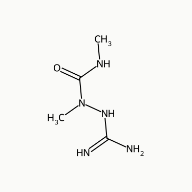 CNC(=O)N(C)NC(=N)N